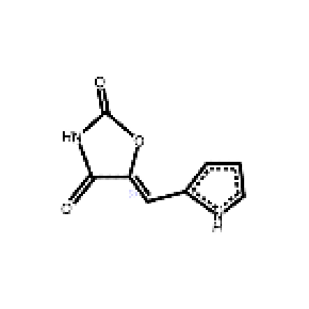 O=C1NC(=O)/C(=C/c2ccc[nH]2)O1